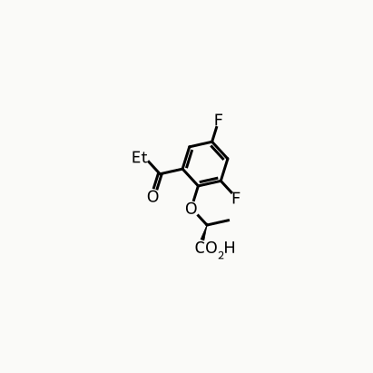 CCC(=O)c1cc(F)cc(F)c1O[C@@H](C)C(=O)O